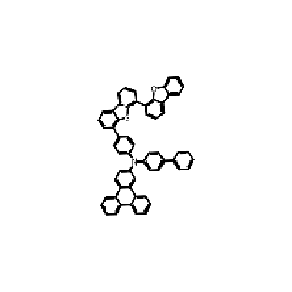 c1ccc(-c2ccc(N(c3ccc(-c4cccc5c4sc4c(-c6cccc7c6oc6ccccc67)cccc45)cc3)c3ccc4c5ccccc5c5ccccc5c4c3)cc2)cc1